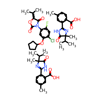 CC(C)=C1OC(=O)N(c2cc(OC3CCCC3)c(Cl)cc2F)C1=O.Cc1ccc(C(=O)O)c(C2=NC(C)(C(C)C)C(=O)N2)c1.Cc1ccc(C2=NC(C)(C(C)C)C(=O)N2)c(C(=O)O)c1